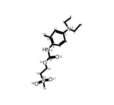 CCN(CC)c1ccc(NC(=O)OCCS(C)(=O)=O)c(C)c1